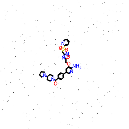 Nc1ncc(-c2ccc(C(=O)N3CCC(N4CCCC4)CC3)cc2)cc1OCc1nc(CS(=O)(=O)c2ccccn2)no1